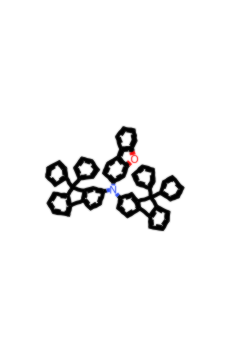 c1ccc(C2(c3ccccc3)c3ccccc3-c3ccc(N(c4ccc5c(c4)C(c4ccccc4)(c4ccccc4)c4ccccc4-5)c4ccc5c(c4)oc4ccccc45)cc32)cc1